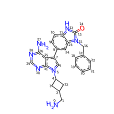 NCC1CC(n2cc(-c3ccc4[nH]c(=O)n(Cc5ccccc5)c4c3)c3c(N)ncnc32)C1